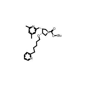 Cc1cc(C)nc(C[C@@H]2CN(C(=O)OC(C)(C)C)C[C@@H]2OCCCCCc2ccccn2)c1